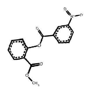 COC(=O)c1ccccc1OC(=O)c1cccc([N+](=O)[O-])c1